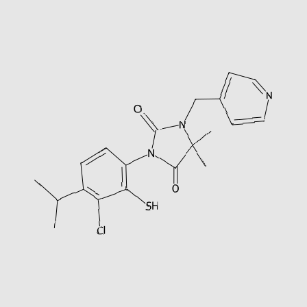 CC(C)c1ccc(N2C(=O)N(Cc3ccncc3)C(C)(C)C2=O)c(S)c1Cl